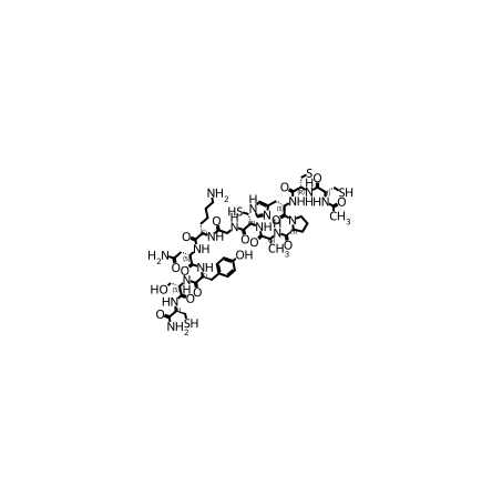 CC(=O)N[C@@H](CS)C(=O)N[C@@H](CS)C(=O)N[C@@H](Cc1c[nH]cn1)C(=O)N1CCC[C@H]1C(=O)N[C@@H](C)C(=O)N[C@@H](CS)C(=O)NCC(=O)N[C@@H](CCCCN)C(=O)N[C@@H](CC(N)=O)C(=O)N[C@@H](Cc1ccc(O)cc1)C(=O)N[C@@H](CO)C(=O)N[C@@H](CS)C(N)=O